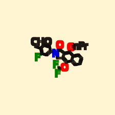 CCCOc1c2c(c(OC(F)F)c3ccccc13)CN(c1ccc(CC=O)c(F)c1)C2=O